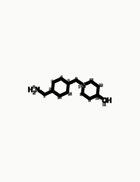 NCC1CCC(CN2CCC(O)CC2)CC1